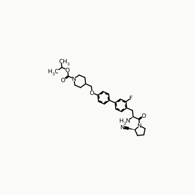 CC(C)OC(=O)N1CCC(COc2ccc(-c3ccc(C[C@H](N)C(=O)N4CCC[C@H]4C#N)c(F)c3)cc2)CC1